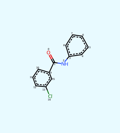 O=C(Nc1c[c]ccc1)c1cccc(Cl)c1